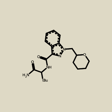 CC(C)(C)C(NC(=O)c1nn(CC2CCCCO2)c2ccccc12)C(N)=O